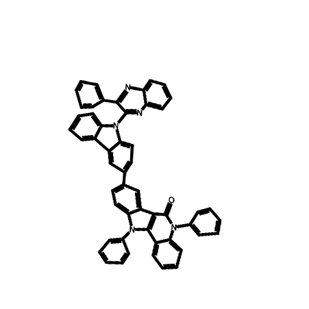 O=c1c2c3cc(-c4ccc5c(c4)c4ccccc4n5-c4nc5ccccc5nc4-c4ccccc4)ccc3n(-c3ccccc3)c2c2ccccc2n1-c1ccccc1